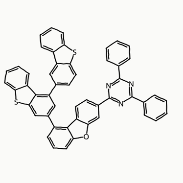 c1ccc(-c2nc(-c3ccccc3)nc(-c3ccc4c(c3)oc3cccc(-c5cc(-c6ccc7sc8ccccc8c7c6)c6c(c5)sc5ccccc56)c34)n2)cc1